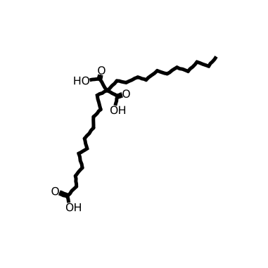 CCCCCCCCCCCC(CCCCCCCCCCC(=O)O)(C(=O)O)C(=O)O